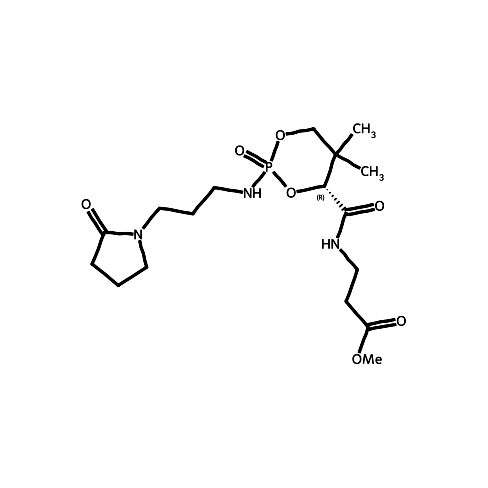 COC(=O)CCNC(=O)[C@@H]1OP(=O)(NCCCN2CCCC2=O)OCC1(C)C